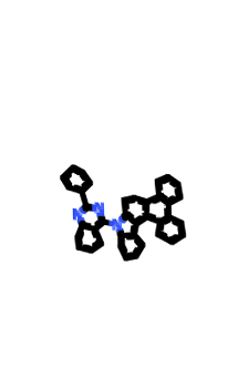 c1ccc(-c2nc(-n3c4ccccc4c4c5c6ccccc6c6ccccc6c5ccc43)c3ccccc3n2)cc1